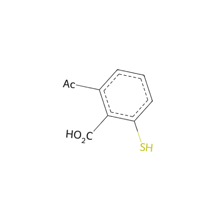 CC(=O)c1cccc(S)c1C(=O)O